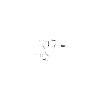 CCn1cncc1-c1c[nH]c2ccc(C#N)c(F)c12